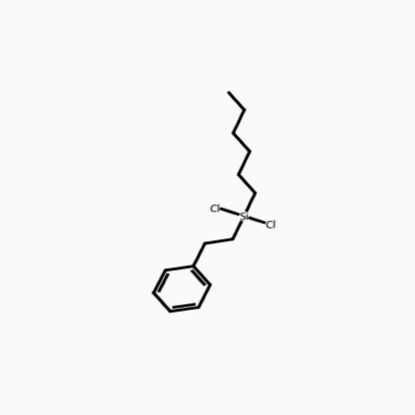 CCCCCC[Si](Cl)(Cl)CCc1ccccc1